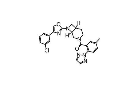 Cc1ccc(-n2nccn2)c(C(=O)N2CC[C@H]3CN(c4nc(-c5cccc(Cl)c5)co4)[C@H]3C2)c1